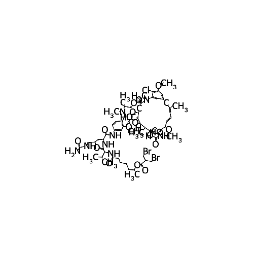 COc1cc(NC(=O)[C@H](CCCNC(N)=O)NC(=O)[C@@H](NC(=O)CCCCC(C)OC(=O)C(CBr)CBr)C(C)C)ccc1C(=O)N(C)[C@@H](C)C(=O)O[C@H]1CC(=O)N(C)c2cc(cc(OC)c2Cl)C/C(C)=C/C=C/[C@@H](OC)[C@@]2(O)C[C@H](OC(=O)N2)[C@@H](C)[C@@H]2O[C@@]12C